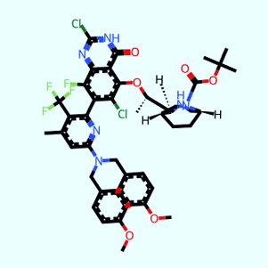 COc1ccc(CN(Cc2ccc(OC)cc2)c2cc(C)c(C(F)(F)F)c(-c3c(Cl)c(O[C@@H](C)[C@H]4NC[C@H]5CC[C@@H]4CN5C(=O)OC(C)(C)C)c4c(=O)[nH]c(Cl)nc4c3F)n2)cc1